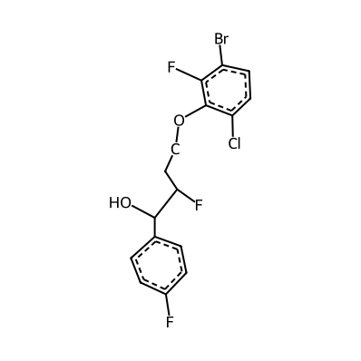 OC(c1ccc(F)cc1)C(F)CCOc1c(Cl)ccc(Br)c1F